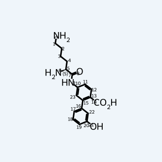 NCCCC[C@H](N)C(=O)Nc1ccc(C(=O)O)c(-c2cccc(O)c2)c1